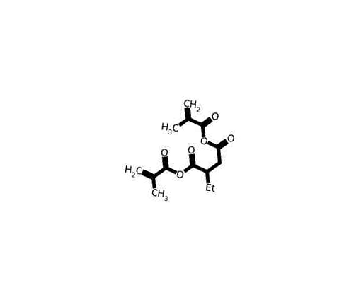 C=C(C)C(=O)OC(=O)CC(CC)C(=O)OC(=O)C(=C)C